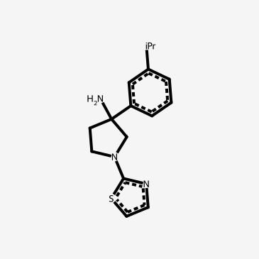 CC(C)c1cccc(C2(N)CCN(c3nccs3)C2)c1